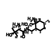 C[C@@H]1CC[C@@H](CNC(=O)[C@@H](N)C(C)(C)O)[C@@](N)(C(=O)O)C1